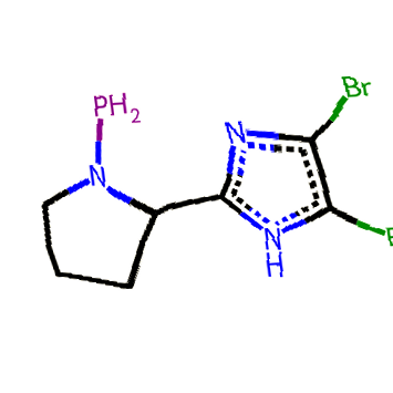 PN1CCCC1c1nc(Br)c(Br)[nH]1